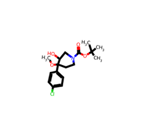 COC1(c2ccc(Cl)cc2)CCN(C(=O)OC(C)(C)C)CC1O